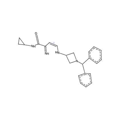 N=C(/C=C\NC1CN(C(c2ccccc2)c2ccccc2)C1)C(=O)NC1CC1